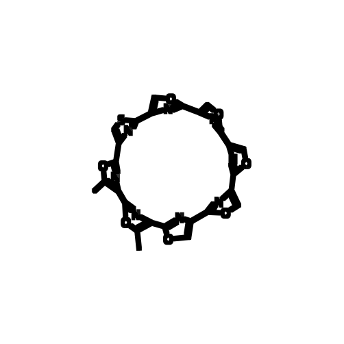 Cc1oc2nc1-c1nc(c(C)o1)-c1nc(co1)-c1nc(co1)-c1nc(co1)-c1nc(co1)-c1nc(co1)-c1nc-2cs1